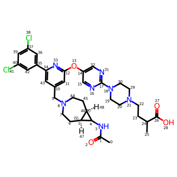 CC(=O)NC1[C@H]2CCN(Cc3cc(Oc4cnc(N5CCN(CCC(C)C(=O)O)CC5)nc4)nc(-c4cc(Cl)cc(Cl)c4)c3)CC[C@@H]12